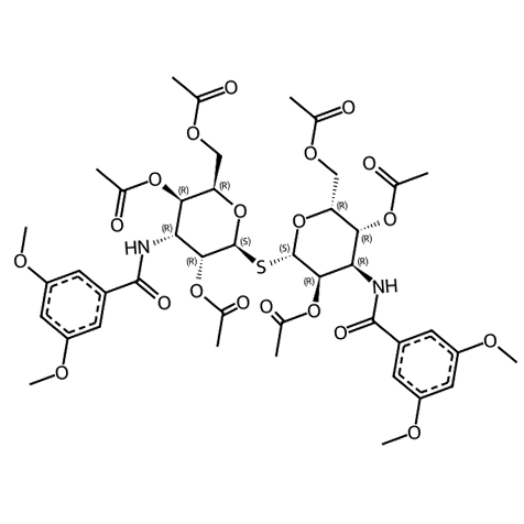 COc1cc(OC)cc(C(=O)N[C@@H]2[C@@H](OC(C)=O)[C@@H](COC(C)=O)O[C@@H](S[C@@H]3O[C@H](COC(C)=O)[C@H](OC(C)=O)[C@@H](NC(=O)c4cc(OC)cc(OC)c4)[C@H]3OC(C)=O)[C@@H]2OC(C)=O)c1